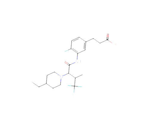 CCC1CCN(C(C(=O)Nc2cc(CCC(=O)O)ccc2F)C(C)C(F)(F)F)CC1